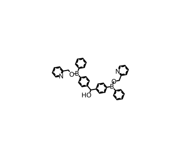 OC(c1ccc(B(OCc2ccccn2)c2ccccc2)cc1)c1ccc(B(OCc2ccccn2)c2ccccc2)cc1